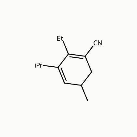 CCC1=C(C#N)CC(C)C=C1C(C)C